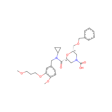 COCCCOc1cc(CN(C(=O)[C@H]2CN(C(=O)O)C[C@@H](COCc3ccccc3)O2)C2CC2)ccc1OC